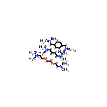 CN(C)CC1CCC(CN(C)C)CC1.CN(C)CCCCN(C)C.CN(C)CCOCCOCCN(C)C